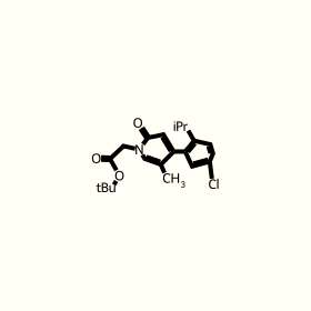 Cc1cn(CC(=O)OC(C)(C)C)c(=O)cc1-c1cc(Cl)ccc1C(C)C